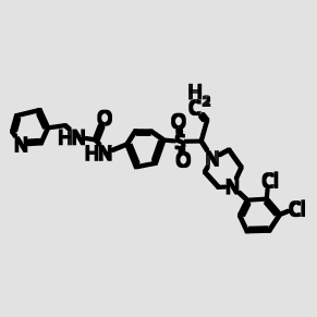 C=CC(N1CCN(c2cccc(Cl)c2Cl)CC1)S(=O)(=O)c1ccc(NC(=O)NCc2cccnc2)cc1